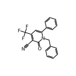 N#Cc1c(C(F)(F)F)cc(-c2ccccc2)n(Cc2ccccc2)c1=O